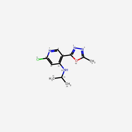 Cc1nnc(-c2cnc(Cl)cc2NC(C)C)o1